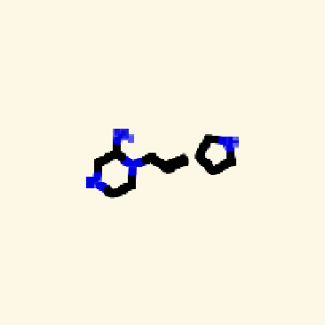 C1CCNC1.C=CCN1CCNCC1N